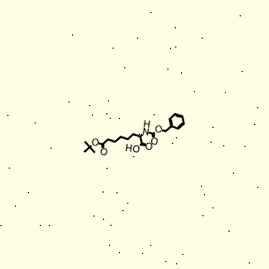 CC(C)(C)OC(=O)CCCCCC(NC(=O)OCc1ccccc1)C(=O)O